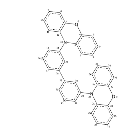 c1ccc2c(c1)Oc1ccccc1N2c1cncc(-c2cncc(N3c4ccccc4Oc4ccccc43)c2)c1